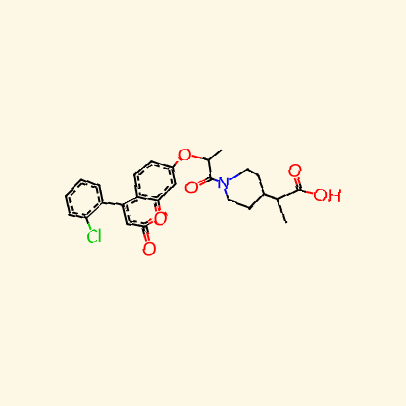 CC(Oc1ccc2c(-c3ccccc3Cl)cc(=O)oc2c1)C(=O)N1CCC(C(C)C(=O)O)CC1